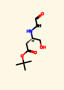 CC(C)(C)OC(=O)C[C@@H](CO)NBC=O